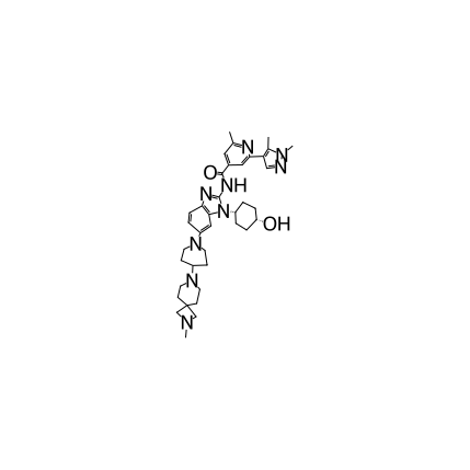 Cc1cc(C(=O)Nc2nc3ccc(N4CCC(N5CCC6(CC5)CN(C)C6)CC4)cc3n2[C@H]2CC[C@@H](O)CC2)cc(-c2cnn(C)c2C)n1